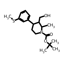 CSc1cccc(C2CCN(C(=O)OC(C)(C)C)C(C)C2CO)c1